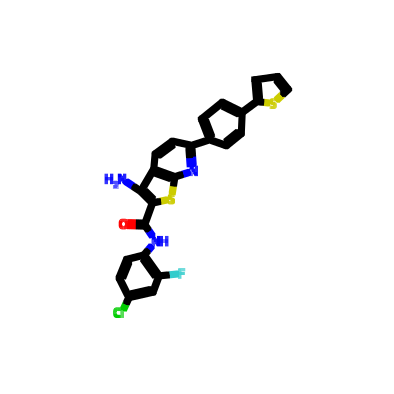 Nc1c(C(=O)Nc2ccc(Cl)cc2F)sc2nc(-c3ccc(-c4cccs4)cc3)ccc12